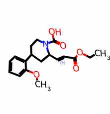 CCOC(=O)/C=C/C1CC(c2ccccc2OC)CCN1C(=O)O